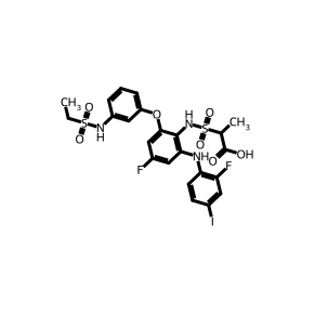 CCS(=O)(=O)Nc1cccc(Oc2cc(F)cc(Nc3ccc(I)cc3F)c2NS(=O)(=O)C(C)C(=O)O)c1